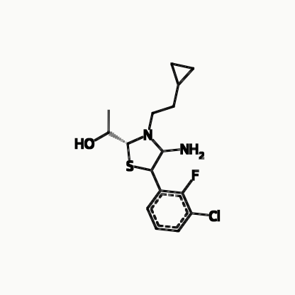 CC(O)[C@H]1SC(c2cccc(Cl)c2F)C(N)N1CCC1CC1